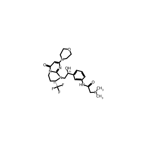 CN(C)CC(=O)Nc1cccc([C@H](O)CN2c3nc(N4CCOCC4)cc(=O)n3CC[C@H]2C(F)(F)F)c1